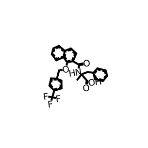 CC(Cc1ccccc1)(NC(=O)c1ccc2ccccc2c1OCc1ccc(C(F)(F)F)cc1)C(=O)O